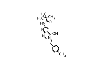 Cc1ccc(CCn2cnc3nc(NC(=O)C(C)(C)C)cc-3c2O)cc1